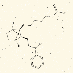 O=C(O)CCCCCC[C@H]1[C@@H](CC[S+]([O-])c2ccccc2)[C@H]2CC[C@@H]1O2